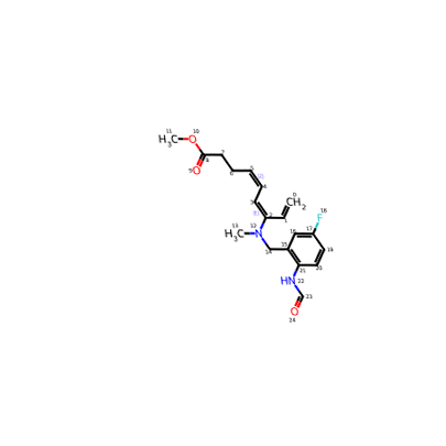 C=C/C(=C\C=C/CCC(=O)OC)N(C)Cc1cc(F)ccc1NC=O